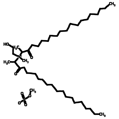 CCCCCCCCCCCCCCCCCC(=O)C(C)[N+](C)(CCO)C(C)C(=O)CCCCCCCCCCCCCCCCC.COS(=O)(=O)[O-]